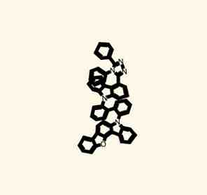 c1ccc(-c2nnc(-c3cccc4c3c3ccccc3n4-c3ccccc3-c3ccccc3-n3c4ccccc4c4c5oc6ccccc6c5ccc43)n2-c2ccccc2)cc1